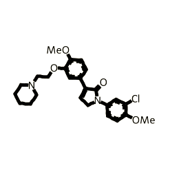 COc1ccc(N2CC=C(c3ccc(OC)c(OCCN4CCCCC4)c3)C2=O)cc1Cl